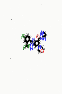 O=C(Nc1cccnn1)c1cc(N2CCOCC2)cc2[nH]c(-c3ccc(F)cc3C(F)F)nc12